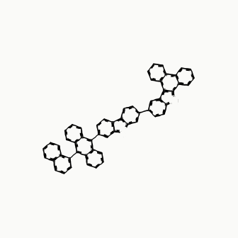 c1ccc2c(-c3c4ccccc4c(-c4ccc5c(c4)sc4cc(-c6ccc7oc8c9ccccc9c9ccccc9c8c7c6)ccc45)c4ccccc34)cccc2c1